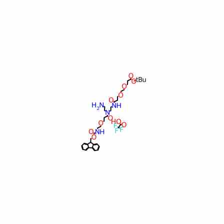 CC(C)(C)OC(=O)CCOCCOCCC(=O)NCCN(CCN)C(=O)CCOCCNC(=O)OCC1c2ccccc2-c2ccccc21.O=C(O)C(F)(F)F